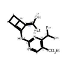 CCOC(=O)c1cnc(NC2=C3CCC3/C2=C(\O)CC)nc1C(F)F